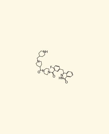 O=C(c1cc(Cc2n[nH]c(=O)c3ccccc23)ccc1F)N1CCN(C(=O)C2CCN(CC3CCNCC3)CC2)CC1